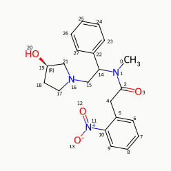 CN(C(=O)Cc1ccccc1[N+](=O)[O-])C(CN1CC[C@@H](O)C1)c1ccccc1